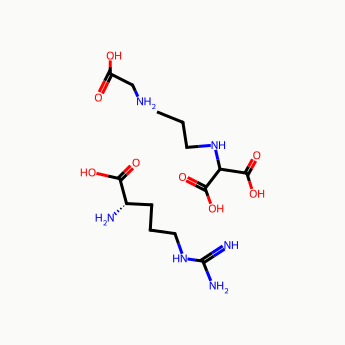 CCCNC(C(=O)O)C(=O)O.N=C(N)NCCC[C@H](N)C(=O)O.NCC(=O)O